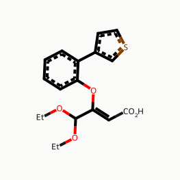 CCOC(OCC)/C(=C/C(=O)O)Oc1ccccc1-c1ccsc1